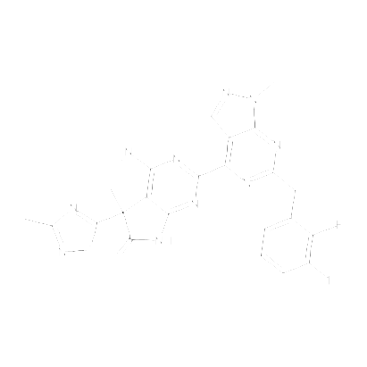 Cc1noc(C2(C)C(=O)Nc3nc(-c4nc(Cc5cccc(F)c5F)nc5c4cnn5C)nc(N)c32)n1